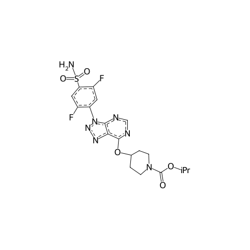 CC(C)OC(=O)N1CCC(Oc2ncnc3c2nnn3-c2cc(F)c(S(N)(=O)=O)cc2F)CC1